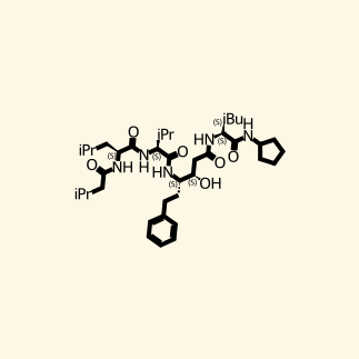 CC[C@H](C)[C@H](NC(=O)C[C@H](O)[C@H](CCc1ccccc1)NC(=O)[C@@H](NC(=O)[C@H](CC(C)C)NC(=O)CC(C)C)C(C)C)C(=O)NC1CCCC1